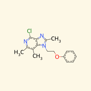 Cc1nc(Cl)c2nc(C)n(CCOc3ccccc3)c2c1C